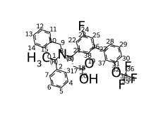 C[C@H](c1ccccc1)N(Cc1ccccc1)[C@@H](CC(=O)O)c1cc(F)cc(-c2cccc(OC(F)(F)F)c2)c1